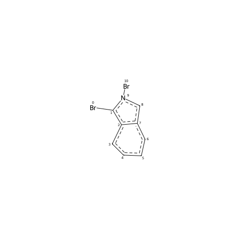 Brc1c2ccccc2cn1Br